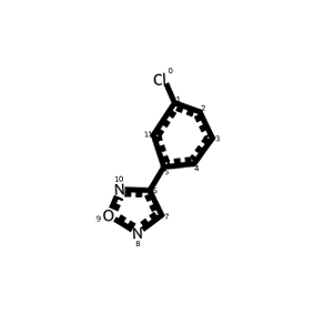 Clc1cccc(-c2cnon2)c1